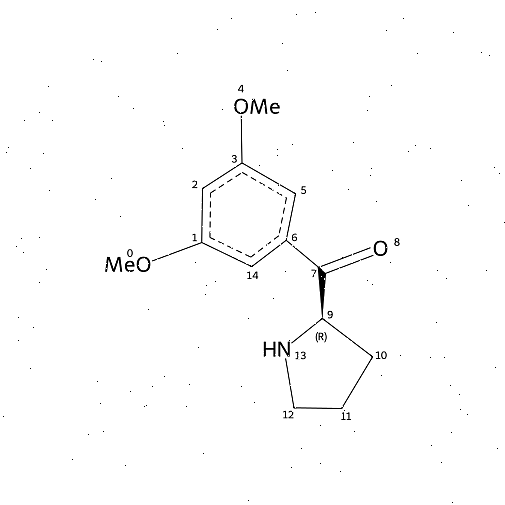 COc1cc(OC)cc(C(=O)[C@H]2CCCN2)c1